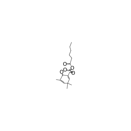 CCCCCC(=O)OS(=O)(=O)C1=CC(C)(C)C=C(C)C1=O